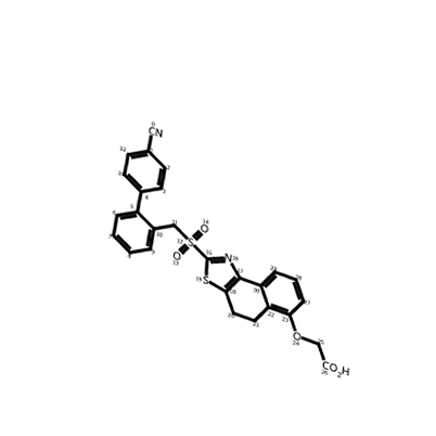 N#Cc1ccc(-c2ccccc2CS(=O)(=O)c2nc3c(s2)CCc2c(OCC(=O)O)cccc2-3)cc1